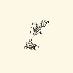 Cc1ncsc1-c1ccc(CNC(=O)[C@@H]2C[C@@H](O)CN2C(=O)[C@@H](NC(=O)C(C)(C)OCCCCCCOc2cc(F)c([C@@H]3c4[nH]c5ccccc5c4C[C@@H](C)N3CC(C)(C)F)c(F)c2)C(C)(C)C)cc1